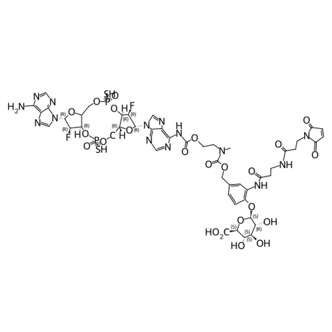 CN(CCOC(=O)Nc1ncnc2c1ncn2[C@@H]1O[C@@H]2CO[P@@](=O)(S)O[C@@H]3C(CO[P@@](=O)(S)O[C@H]2[C@H]1F)O[C@@H](n1cnc2c(N)ncnc21)[C@@H]3F)C(=O)OCc1ccc(O[C@@H]2O[C@H](C(=O)O)[C@@H](O)[C@H](O)[C@H]2O)c(NC(=O)CCNC(=O)CCN2C(=O)C=CC2=O)c1